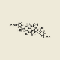 COc1ccc(C(O)c2cc3c4c5c(ccc4c2)C(O)c2cc(C(O)c4cccc(OC)c4)cc4ccc(c-5c24)C3O)cc1